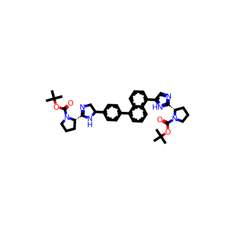 CC(C)(C)OC(=O)N1CCC[C@H]1C1=NCC(c2ccc(-c3cccc4c(-c5cnc([C@@H]6CCCN6C(=O)OC(C)(C)C)[nH]5)cccc34)cc2)N1